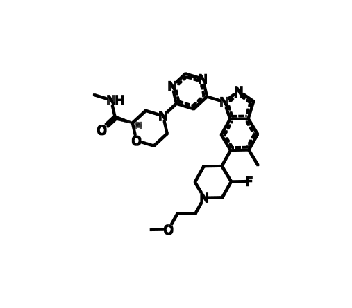 CNC(=O)[C@H]1CN(c2cc(-n3ncc4cc(C)c(C5CCN(CCOC)CC5F)cc43)ncn2)CCO1